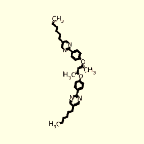 CCCCCCc1cnc(-c2ccc(O[C@@H](C)C[C@H](C)Oc3ccc(-c4ncc(CCCCCC)cn4)cc3)cc2)nc1